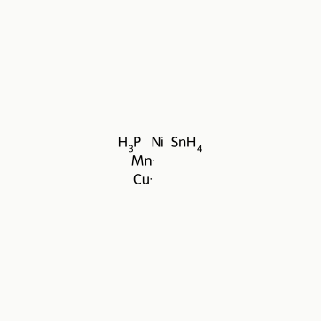 P.[Cu].[Mn].[Ni].[SnH4]